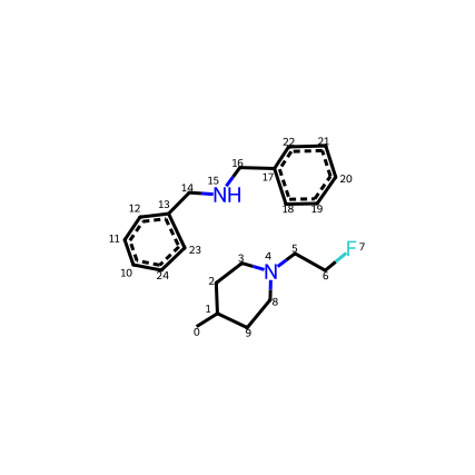 CC1CCN(CCF)CC1.c1ccc(CNCc2ccccc2)cc1